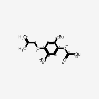 C=C(C)COc1cc(C(C)(C)C)c(OC(=O)C(C)(C)C)cc1C(C)(C)C